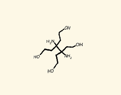 NC(CCO)(CCO)C(N)(CCO)CCO